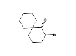 O=C1C(Br)CCCC12CCCCC2